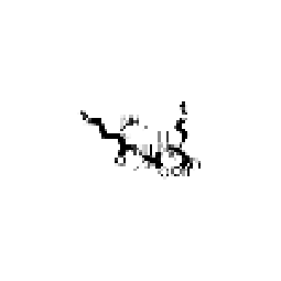 CSCC[C@H](NC(=O)[C@H](C)NC(=O)[C@@H](N)CCSC)C(=O)O